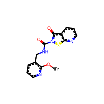 CC(C)Oc1ncccc1CNC(=O)n1sc2ncccc2c1=O